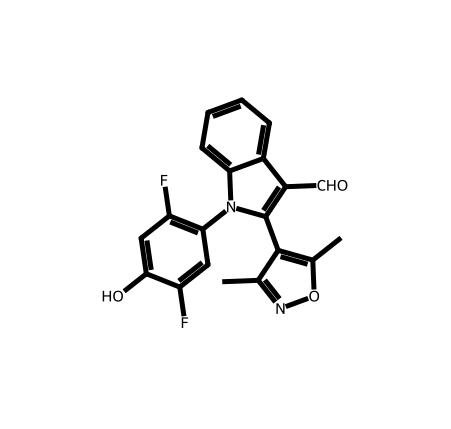 Cc1noc(C)c1-c1c(C=O)c2ccccc2n1-c1cc(F)c(O)cc1F